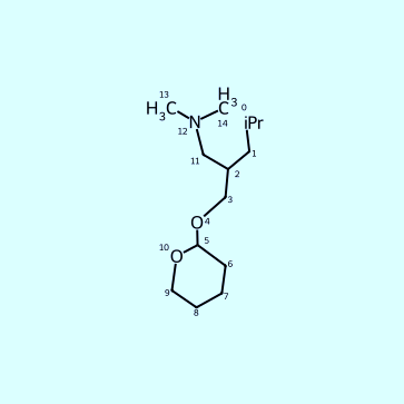 CC(C)CC(COC1CCCCO1)CN(C)C